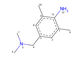 Cc1cc(CN(C)C)cc(C)c1N